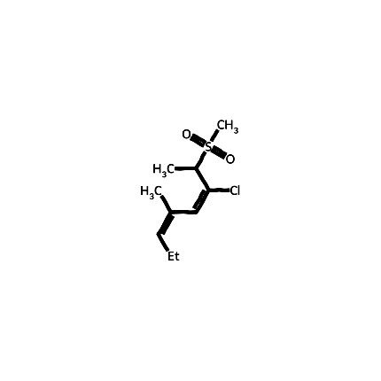 CC/C=C(C)\C=C(\Cl)C(C)S(C)(=O)=O